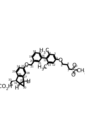 Cc1cc(OCCCS(C)(=O)=O)cc(C)c1-c1cccc(COc2ccc3c(c2)[C@@H]2C[C@@H]2[C@H]3CC(=O)O)c1